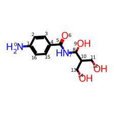 Nc1ccc(C(=O)NC(O)C(CO)CO)cc1